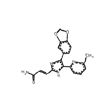 Cc1cccc(-c2[nH]c(C=CC(N)=O)nc2-c2ccc3c(c2)OCO3)n1